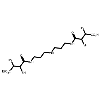 CCOC(=O)C(S)C(S)C(=O)NCCCNCCCNC(=O)C(S)C(S)C(=O)O